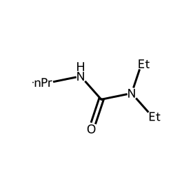 CC[CH]NC(=O)N(CC)CC